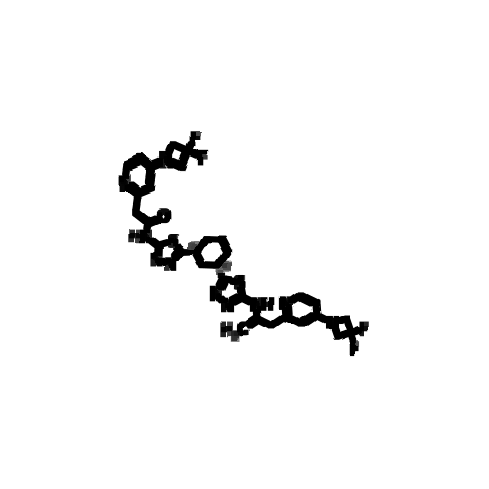 C=C(Cc1cc(N2CC(F)(F)C2)ccn1)Nc1nnc([C@H]2CCC[C@H](c3nnc(NC(=O)Cc4cc(N5CC(F)(F)C5)ccn4)s3)C2)s1